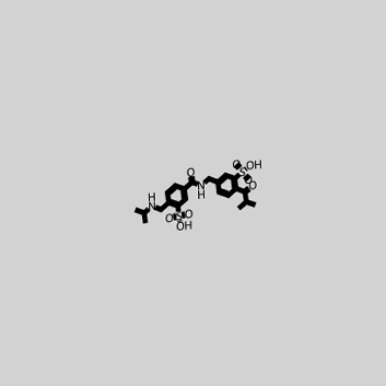 CC(C)NCc1ccc(C(=O)NCc2ccc(C(=O)C(C)C)c(S(=O)(=O)O)c2)cc1S(=O)(=O)O